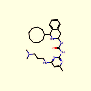 Cc1cc(NCCCN(C)C)nc(NC(=O)NC2Cc3ccccc3C(C3CCCCCCCC3)N2)n1